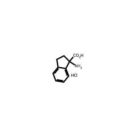 Cl.NC1(C(=O)O)CCc2ccccc21